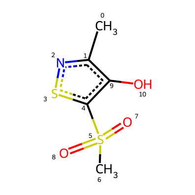 Cc1nsc(S(C)(=O)=O)c1O